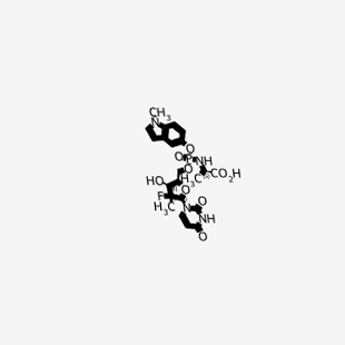 C[C@H](NP(=O)(OC[C@H]1O[C@@H](n2ccc(=O)[nH]c2=O)[C@](C)(F)[C@@H]1O)Oc1ccc2c(ccn2C)c1)C(=O)O